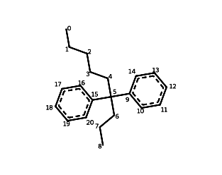 CCCCCC(CCC)(c1ccccc1)c1ccccc1